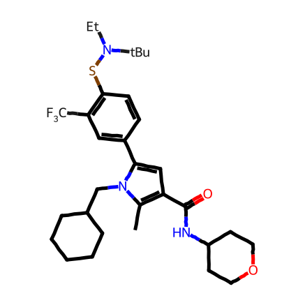 CCN(Sc1ccc(-c2cc(C(=O)NC3CCOCC3)c(C)n2CC2CCCCC2)cc1C(F)(F)F)C(C)(C)C